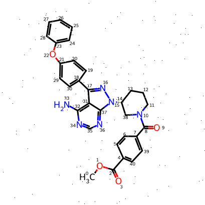 COC(=O)c1ccc(C(=O)N2CCC[C@@H](n3nc(-c4ccc(Oc5ccccc5)cc4)c4c(N)ncnc43)C2)cc1